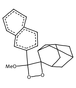 COC1(c2ccc3ccccc3c2)OOC12C1CC3CC(C1)CC2C3